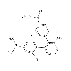 Cc1cccc(-c2ccc(N(C)C)cc2Br)c1-c1ccc(N(C)C)cc1Br